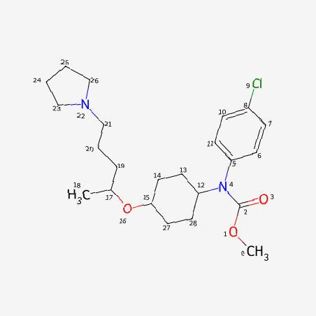 COC(=O)N(c1ccc(Cl)cc1)C1CCC(OC(C)CCCN2CCCC2)CC1